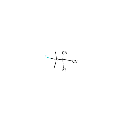 CCC(C#N)(C#N)[Si](C)(C)F